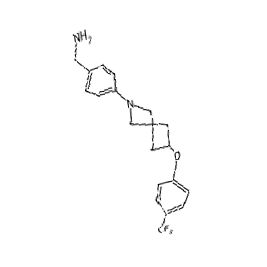 NCc1ccc(N2CC3(CC(Oc4ccc(C(F)(F)F)cc4)C3)C2)cc1